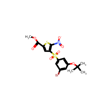 COC(=O)c1cc(S(=O)(=O)c2cc(Br)cc(OC(C)(C)C)c2)c([N+](=O)[O-])s1